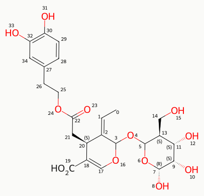 CC=C1C(OC2O[C@@H](O)[C@@H](O)[C@@H](O)[C@@H]2CO)OC=C(C(=O)O)[C@H]1CC(=O)OCCc1ccc(O)c(O)c1